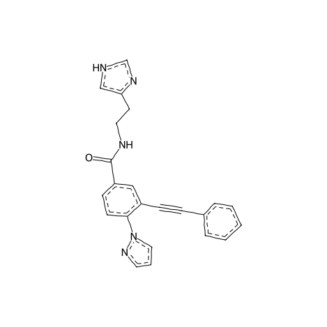 O=C(NCCc1c[nH]cn1)c1ccc(-n2cccn2)c(C#Cc2ccccc2)c1